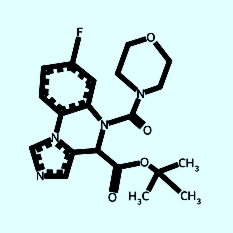 CC(C)(C)OC(=O)C1c2cncn2-c2ccc(F)cc2N1C(=O)N1CCOCC1